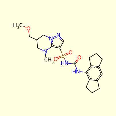 COCC1CN(C)c2c(S(=O)(=O)NC(=O)Nc3c4c(cc5c3CCC5)CCC4)cnn2C1